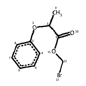 CC(Oc1ccccc1)C(=O)OCBr